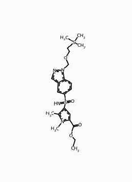 CCOC(=O)c1cc(S(=N)(=O)c2ccc3c(cnn3COCC[Si](C)(C)C)c2)c(C)n1C